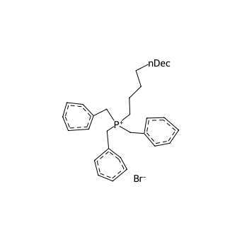 CCCCCCCCCCCCCC[P+](Cc1ccccc1)(Cc1ccccc1)Cc1ccccc1.[Br-]